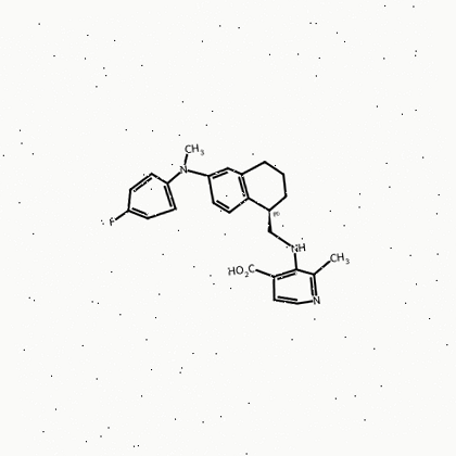 Cc1nccc(C(=O)O)c1NC[C@@H]1CCCc2cc(N(C)c3ccc(F)cc3)ccc21